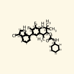 CC1c2cc(-c3cccc4c(Cl)c[nH]c34)c(F)c(F)c2NC(C)(C)C1OC(=O)NC1CCCCC1